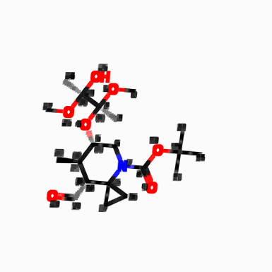 CO[C@@](C)(O[C@@H]1CN(C(=O)OC(C)(C)C)C2(CC2)[C@H](C=O)[C@H]1C)[C@](C)(O)OC